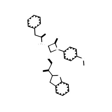 COc1ccc(N2C(=O)[C@@H](NC(=O)Cc3ccccc3)[C@H]2C=CC(=O)C2Cc3ccccc3O2)cc1